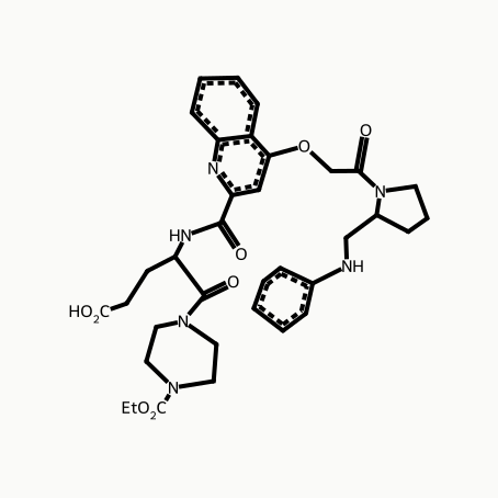 CCOC(=O)N1CCN(C(=O)C(CCC(=O)O)NC(=O)c2cc(OCC(=O)N3CCCC3CNc3ccccc3)c3ccccc3n2)CC1